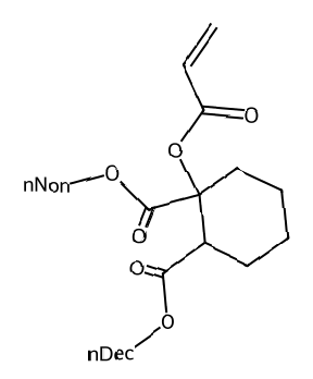 C=CC(=O)OC1(C(=O)OCCCCCCCCC)CCCCC1C(=O)OCCCCCCCCCC